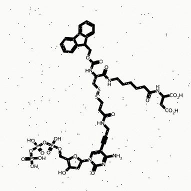 Nc1nc(=O)n(C2CC(O)C(COP(=O)(O)OP(=O)(O)OP(=O)(O)O)O2)cc1C#CCNC(=O)CCSSCC(NC(=O)OCC1c2ccccc2-c2ccccc21)C(=O)NCCCCCC(=O)NC(CC(=O)O)C(=O)O